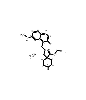 CCOC(=O)C1(CCCc2c(Cl)cnc3ccc(OC)cc23)CCNCC1.Cl.Cl